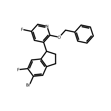 Fc1cnc(OCc2ccccc2)c(C2CCc3cc(Br)c(F)cc32)c1